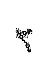 Cn1ccnc1Sc1ccc(Nc2c(C#N)cnc3cc(/C=C/CCN4CCC(N5CCCC5)CC4)ccc23)cc1Cl